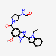 CCn1c(-c2nc3cc(C(=O)N4CCC(NC=O)C4)cc(OC)c3n2C)cc2ccccc21